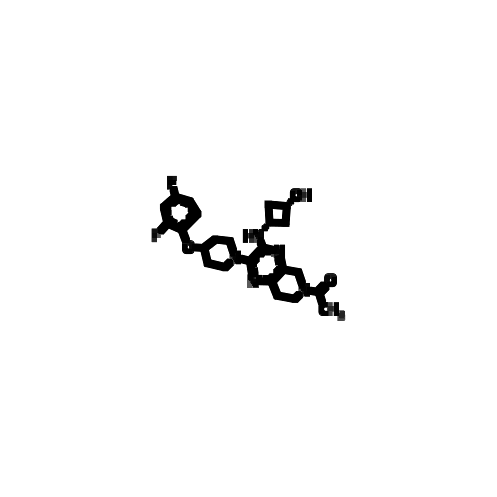 CC(=O)N1CCc2nc(N3CCC(Oc4ccc(F)cc4F)CC3)c(N[C@H]3C[C@@H](O)C3)nc2C1